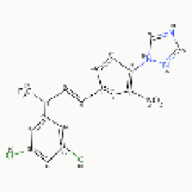 O=[N+]([O-])c1cc(/C=C/C(c2cc(Cl)cc(Cl)c2)C(F)(F)F)ccc1-n1cncn1